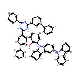 c1ccc(-c2cccc(-c3nc(-c4ccccc4)nc(-c4ccc(-c5ccccc5)c5oc6c(-n7c8ccccc8c8cc(-n9c%10ccccc%10c%10ccccc%109)ccc87)cccc6c45)n3)c2)cc1